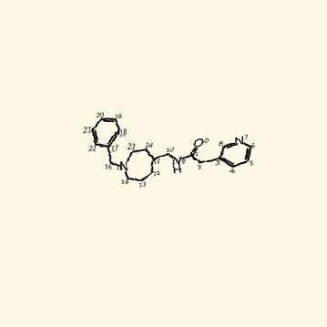 O=C(Cc1cccnc1)NCC1CCCN(Cc2ccccc2)CC1